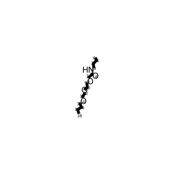 CCCCNC(=O)COCCOCCOCCCC